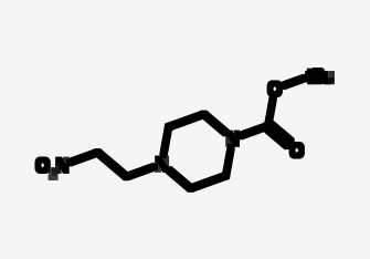 CC(C)(C)OC(=O)N1CCN(CC[N+](=O)[O-])CC1